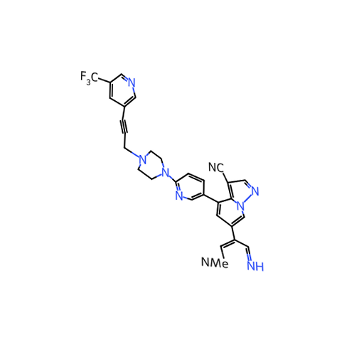 CN/C=C(\C=N)c1cc(-c2ccc(N3CCN(CC#Cc4cncc(C(F)(F)F)c4)CC3)nc2)c2c(C#N)cnn2c1